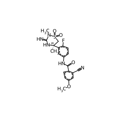 COc1ccc(C(=O)Nc2ccc(F)c([C@]3(C)CS(=O)(=O)N(C)C(=N)N3)c2)c(C#N)c1